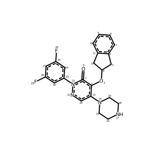 O=c1c(OC2Cc3ccccc3C2)c(N2CCNCC2)cnn1-c1cc(F)cc(F)c1